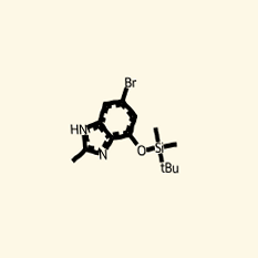 Cc1nc2c(O[Si](C)(C)C(C)(C)C)cc(Br)cc2[nH]1